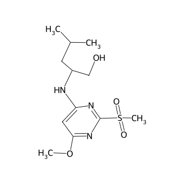 COc1cc(NC(CO)CC(C)C)nc(S(C)(=O)=O)n1